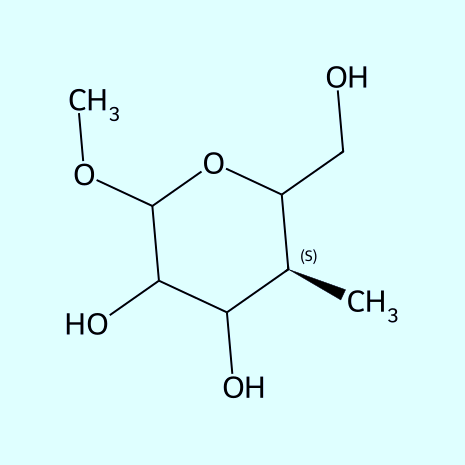 COC1OC(CO)[C@@H](C)C(O)C1O